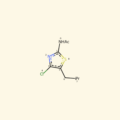 CC(=O)Nc1nc(Cl)c(CC(C)C)s1